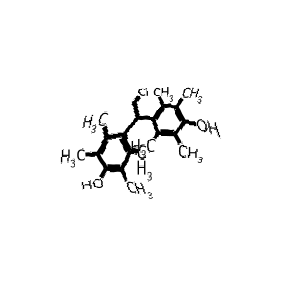 Cc1c(C)c(C(CCl)c2c(C)c(C)c(O)c(C)c2C)c(C)c(C)c1O